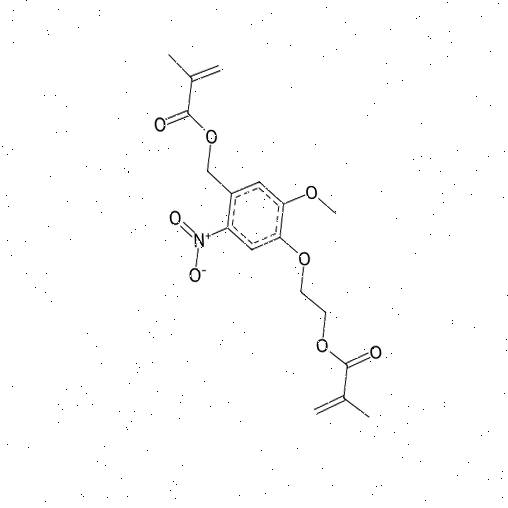 C=C(C)C(=O)OCCOc1cc([N+](=O)[O-])c(COC(=O)C(=C)C)cc1OC